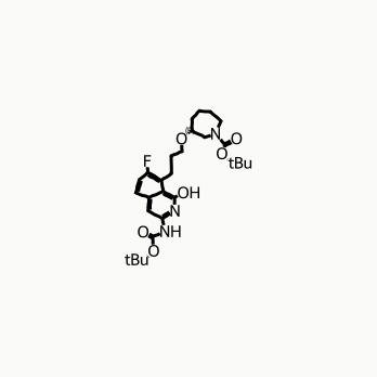 CC(C)(C)OC(=O)Nc1cc2ccc(F)c(CCCO[C@@H]3CCCCN(C(=O)OC(C)(C)C)C3)c2c(O)n1